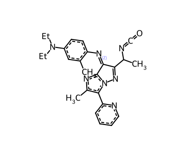 CCN(CC)c1ccc(/N=C2/C(C(C)N=C=O)=Nn3c2nc(C)c3-c2ccccn2)c(C)c1